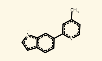 Cc1ccnc(-c2ccc3cc[nH]c3c2)c1